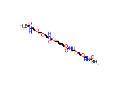 BC(=O)NCCOCCOCCNC(=O)OCCCCCOC(=O)NCCOCCOCCNC(B)=O